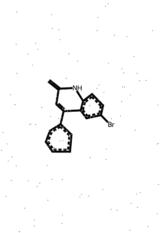 C=C1C=C(c2ccccc2)c2cc(Br)ccc2N1